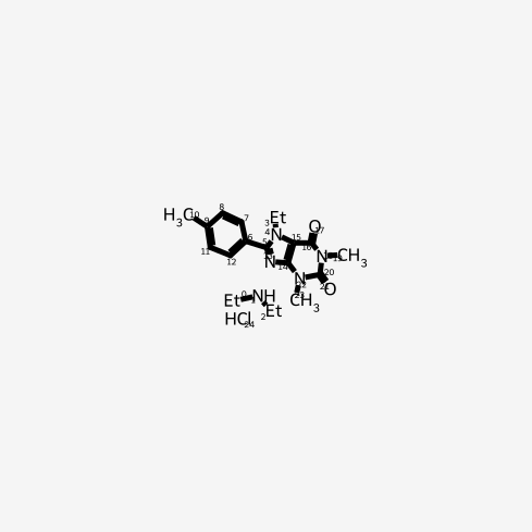 CCNCC.CCn1c(-c2ccc(C)cc2)nc2c1c(=O)n(C)c(=O)n2C.Cl